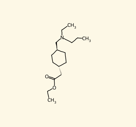 CCCN(CC)C[C@H]1CC[C@H](CC(=O)OCC)CC1